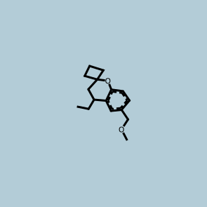 CCC1CC2(CCC2)Oc2ccc(COC)cc21